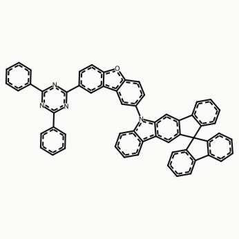 c1ccc(-c2nc(-c3ccccc3)nc(-c3ccc4oc5ccc(-n6c7ccccc7c7cc8c(cc76)-c6ccccc6C86c7ccccc7-c7ccccc76)cc5c4c3)n2)cc1